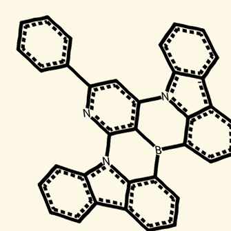 c1ccc(-c2cc3c4c(n2)-n2c5ccccc5c5cccc(c52)B4c2cccc4c5ccccc5n-3c24)cc1